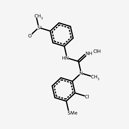 CSc1cccc(N(C)C(=N)Nc2cccc([S+](C)[O-])c2)c1Cl.Cl